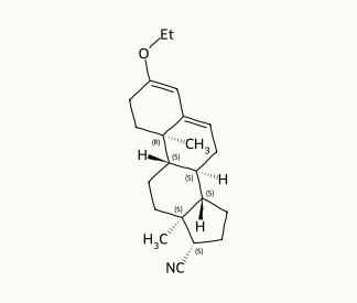 CCOC1=CC2=CC[C@H]3[C@@H]4CC[C@H](C#N)[C@@]4(C)CC[C@@H]3[C@@]2(C)CC1